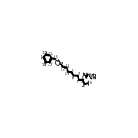 [N-]=[N+]=NC(CI)CCCCCCCCOCc1ccccc1